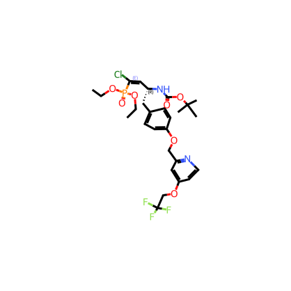 CCOP(=O)(OCC)/C(Cl)=C\[C@@H](Cc1ccc(OCc2cc(OCC(F)(F)F)ccn2)cc1)NC(=O)OC(C)(C)C